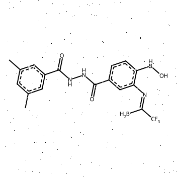 B/C(=N\c1cc(C(=O)NNC(=O)c2cc(C)cc(C)c2)ccc1BO)C(F)(F)F